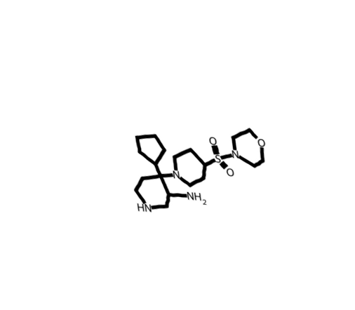 NC1CNCCC1(C1CCCC1)N1CCC(S(=O)(=O)N2CCOCC2)CC1